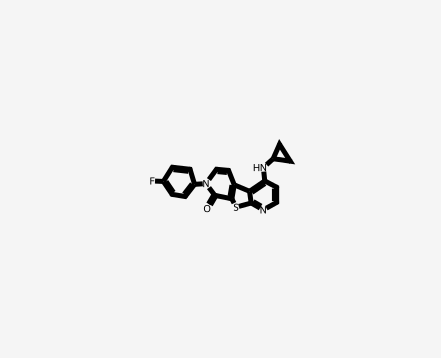 O=c1c2sc3nccc(NC4CC4)c3c2ccn1-c1ccc(F)cc1